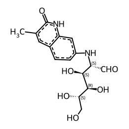 Cc1cc2ccc(N[C@H](C=O)[C@H](O)[C@@H](O)[C@@H](O)CO)cc2[nH]c1=O